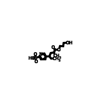 CCC(CC(C)C(=O)OCCCO)c1ccc(S(=O)(=O)O)nc1